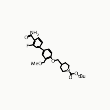 COCc1cc(-c2ccc(C(N)=O)c(F)c2)ccc1OCC1CCN(C(=O)OC(C)(C)C)CC1